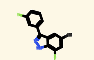 N#Cc1cc(F)c2[nH]nc(-c3cccc(F)c3)c2c1